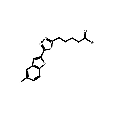 SC(S)CCCCc1nnc(-c2cc3cc(Cl)ccc3o2)o1